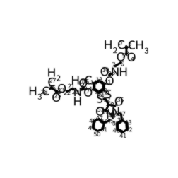 C=C(C)C(=O)OCCNC(=O)Oc1cc(C)c(OC(=O)NCCOC(=O)C(=C)C)c2c1SC(C1C(=O)N(CC3=C=C=CC=C3)N(CC3=CC=CCC3)C1=O)S2